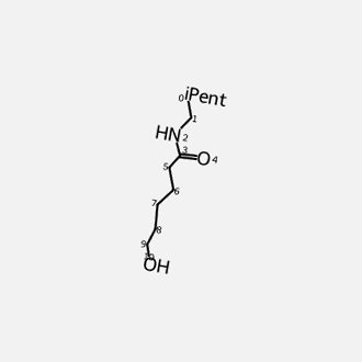 CCCC(C)CNC(=O)CCCCCO